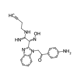 C#CCCNC(=N)/C(=N\O)c1nc2ccccc2n1CC(=O)c1ccc(N)cc1